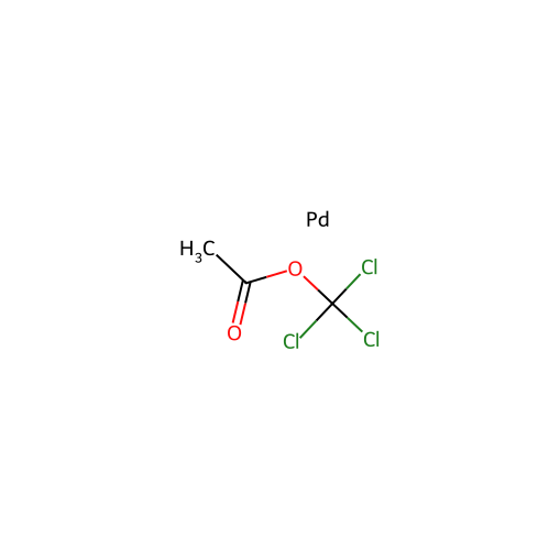 CC(=O)OC(Cl)(Cl)Cl.[Pd]